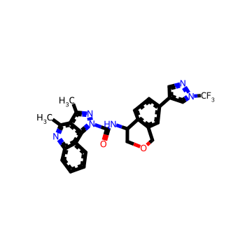 Cc1nc2ccccc2c2c1c(C)nn2C(=O)NC1COCc2cc(-c3cnn(C(F)(F)F)c3)ccc21